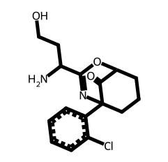 NC(CCO)C1=NC2(c3ccccc3Cl)CCCC(O1)C2=O